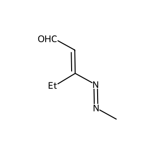 CCC(=C\C=O)/N=N/C